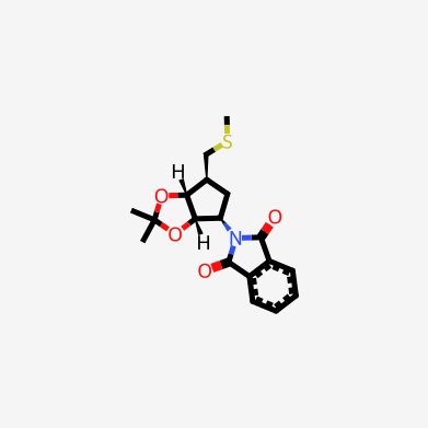 CSC[C@H]1C[C@@H](N2C(=O)c3ccccc3C2=O)[C@@H]2OC(C)(C)O[C@H]12